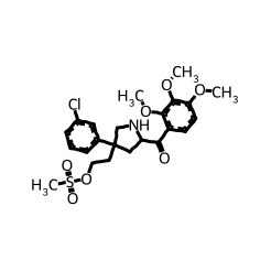 COc1ccc(C(=O)C2CC(CCOS(C)(=O)=O)(c3cccc(Cl)c3)CN2)c(OC)c1OC